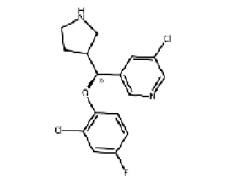 Fc1ccc(O[C@H](c2cncc(Cl)c2)C2CCNC2)c(Cl)c1